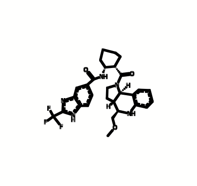 COC[C@@H]1Nc2ccccc2[C@H]2[C@H]1CCN2C(=O)[C@H]1CCCC[C@H]1NC(=O)c1ccc2[nH]c(C(F)(F)F)nc2c1